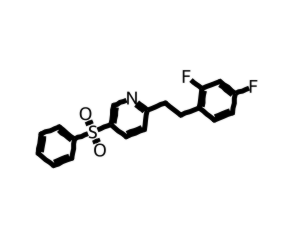 O=S(=O)(c1ccccc1)c1ccc(CCc2ccc(F)cc2F)nc1